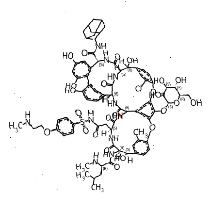 CNCCOc1ccc(S(=O)(=O)NC(=O)C[C@@H]2NC(=O)[C@H](NC(=O)[C@@H](CC(C)C)NC)[C@H](O)c3ccc(c(C)c3)Oc3cc4cc(c3O[C@@H]3O[C@H](CO)[C@@H](O)[C@H](O)[C@H]3O)Oc3ccc(cc3Cl)[C@@H](O)[C@@H]3NC(=O)[C@H](NC(=O)[C@@H]4NC2=O)c2ccc(O)c(c2)-c2c(O)cc(O)cc2[C@@H](C(=O)NC2C4CC5CC(C4)CC2C5)NC3=O)cc1